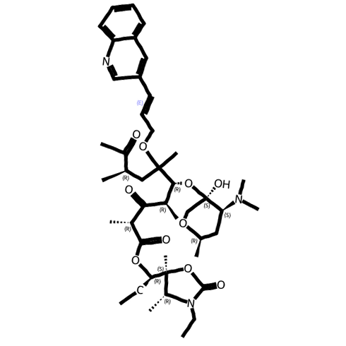 CC[C@@H](OC(=O)[C@H](C)C(=O)[C@H](C)[C@@H](O[C@]1(O)CO[C@H](C)C[C@@H]1N(C)C)C(C)(C[C@@H](C)C(C)=O)OC/C=C/c1cnc2ccccc2c1)[C@@]1(C)OC(=O)N(CC)[C@@H]1C